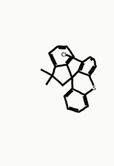 CC1(C)CC2(c3ccccc3Sc3cccc(Cl)c32)c2ccccc21